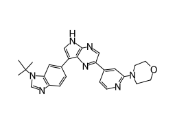 CC(C)(C)n1cnc2ccc(-c3c[nH]c4ncc(-c5ccnc(N6CCOCC6)c5)nc34)cc21